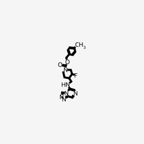 Cc1ccc(COC(=O)N2CCC(CNc3cncc4nncn34)C(F)C2)cc1